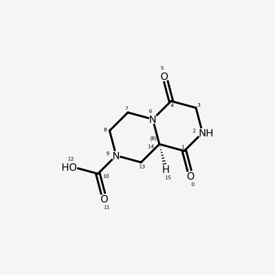 O=C1NCC(=O)N2CCN(C(=O)O)C[C@H]12